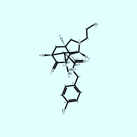 CC(C)CCN1C[C@@H]2C[C@H]3C(=O)N[C@]2(C(=O)NCc2ccc(Cl)cc2)[C@@H]1[C@@H]3CC(C)C